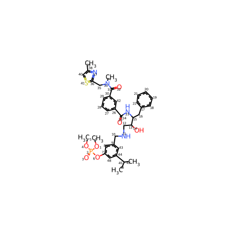 COP(=O)(OC)Oc1cc(CNCC(O)C(Cc2ccccc2)NC(=O)c2cccc(C(=O)N(C)Cc3nc(C)cs3)c2)cc(C(C)C)c1